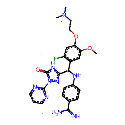 COc1cc(C(Nc2ccc(C(=N)N)cc2)c2nn(-c3ncccn3)c(=O)[nH]2)c(F)cc1OCCN(C)C